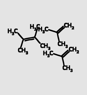 C=C(C)C.C=C(C)C.CC(C)=C(C)C